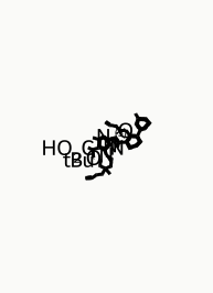 C=CCCC1(C)CCN(c2c(C(OC(C)(C)C)C(=O)O)c(C)nc3cc(-c4cccc(-c5cccc(C)c5)c4O[C@@H](C)CC=C)nn23)CC1